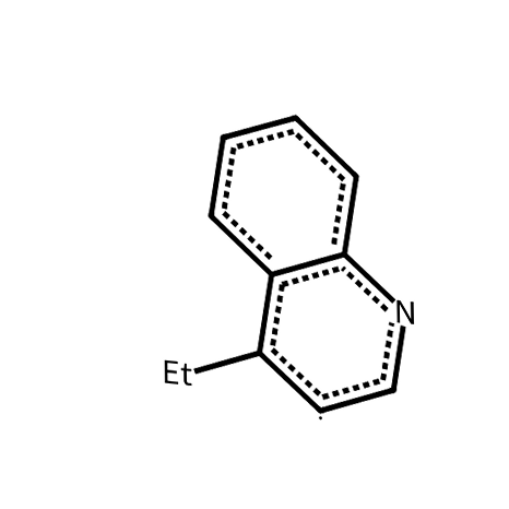 CCc1[c]cnc2ccccc12